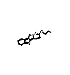 CCCOC1=NN2CC3=c4ccccc4=NC3=C2C=C1